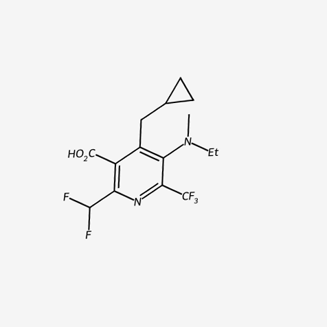 CCN(C)c1c(C(F)(F)F)nc(C(F)F)c(C(=O)O)c1CC1CC1